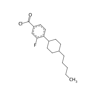 CCCCCC1CCC(c2ccc(C(=O)Cl)cc2F)CC1